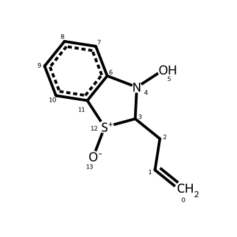 C=CCC1N(O)c2ccccc2[S+]1[O-]